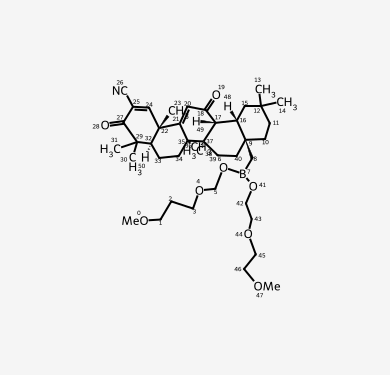 COCCCOCOB(C[C@]12CCC(C)(C)C[C@H]1[C@H]1C(=O)C=C3[C@@]4(C)C=C(C#N)C(=O)C(C)(C)[C@@H]4CC[C@@]3(C)[C@]1(C)CC2)OCCOCCOC